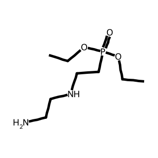 CCOP(=O)(CCNCCN)OCC